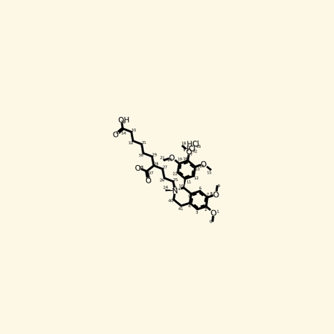 COc1cc2c(cc1OC)[C@H](c1cc(OC)c(OC)c(OC)c1)[N@@+](C)(CCCC(CCCCCC(=O)O)C(=O)[O-])CC2.Cl.Cl